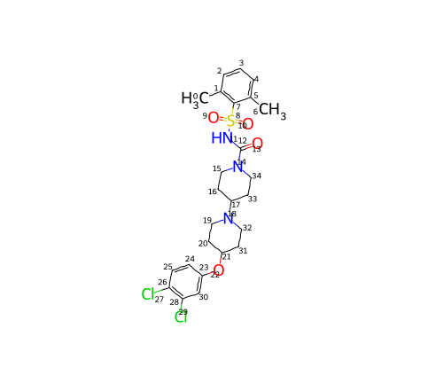 Cc1cccc(C)c1S(=O)(=O)NC(=O)N1CCC(N2CCC(Oc3ccc(Cl)c(Cl)c3)CC2)CC1